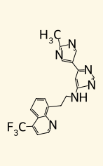 Cc1ncc(-c2cc(NCCc3cccc4c(C(F)(F)F)ccnc34)ncn2)cn1